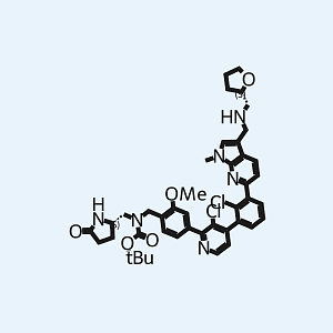 COc1cc(-c2nccc(-c3cccc(-c4ccc5c(CNC[C@@H]6CCCO6)cn(C)c5n4)c3Cl)c2Cl)ccc1CN(C[C@@H]1CCC(=O)N1)C(=O)OC(C)(C)C